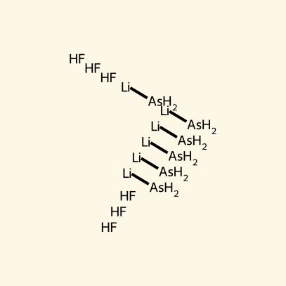 F.F.F.F.F.F.[Li][AsH2].[Li][AsH2].[Li][AsH2].[Li][AsH2].[Li][AsH2].[Li][AsH2]